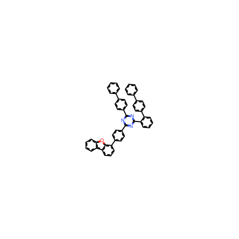 c1ccc(-c2ccc(-c3nc(-c4ccc(-c5cccc6c5oc5ccccc56)cc4)nc(-c4ccccc4-c4ccc(-c5ccccc5)cc4)n3)cc2)cc1